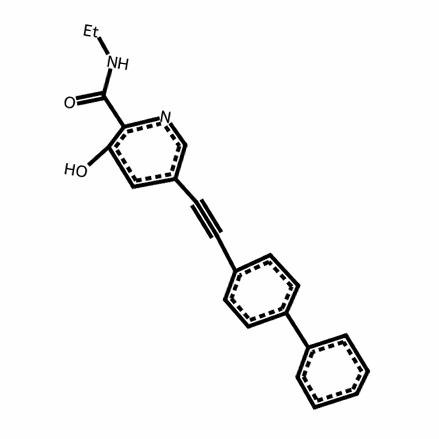 CCNC(=O)c1ncc(C#Cc2ccc(-c3ccccc3)cc2)cc1O